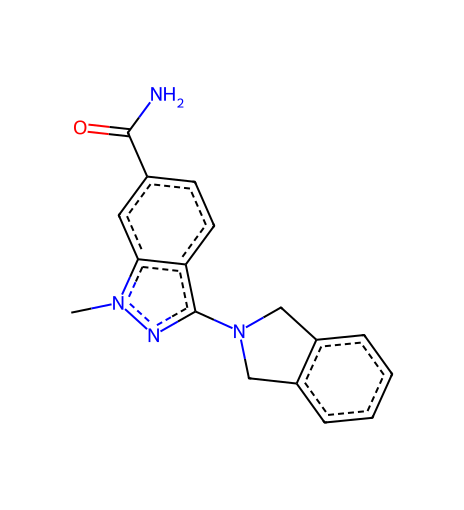 Cn1nc(N2Cc3ccccc3C2)c2ccc(C(N)=O)cc21